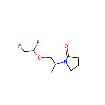 CC(COC(F)CF)N1CCCC1=O